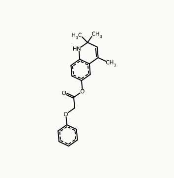 CC1=CC(C)(C)Nc2ccc(OC(=O)COc3ccccc3)cc21